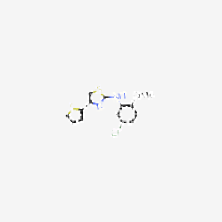 COc1ccc(Cl)cc1Nc1nc(-c2cccs2)cs1